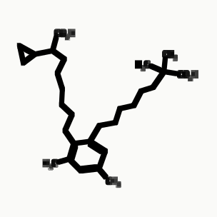 Cc1cc(C)c(CCCCCCC(C(=O)O)C2CC2)c(CCCCCCC(C)(C)C(=O)O)c1